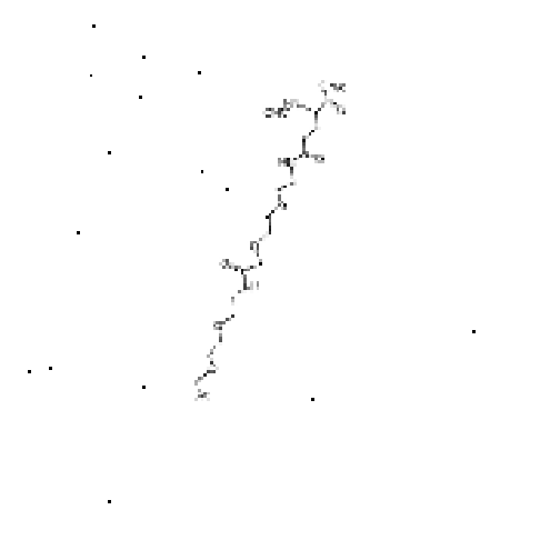 COC(=O)C(CCC(=O)NCCOCCOCC(=O)NCCOCCOCC(C)=O)NC=O